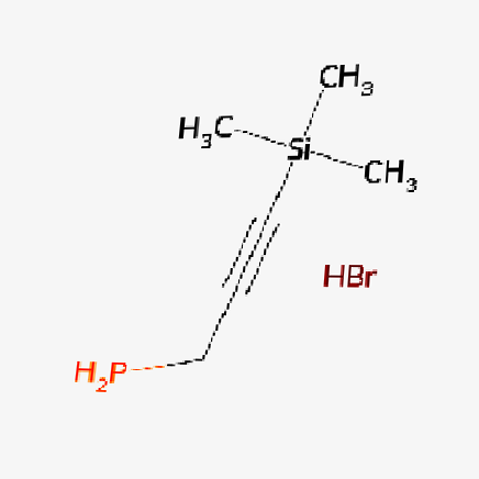 Br.C[Si](C)(C)C#CCP